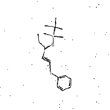 CCC(C=CSc1ccccc1)O[Si](C)(C)C(C)(C)C